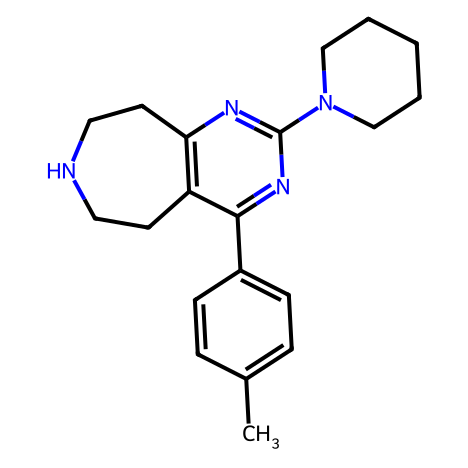 Cc1ccc(-c2nc(N3CCCCC3)nc3c2CCNCC3)cc1